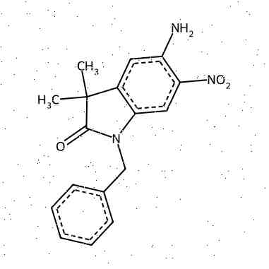 CC1(C)C(=O)N(Cc2ccccc2)c2cc([N+](=O)[O-])c(N)cc21